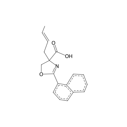 CC=CCC1(C(=O)O)COC(c2cccc3ccccc23)=N1